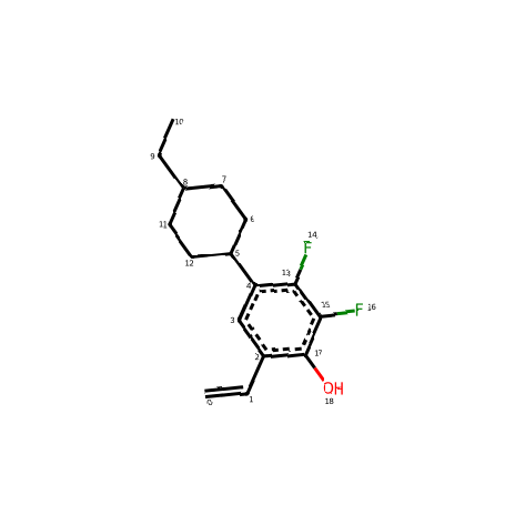 C=Cc1cc(C2CCC(CC)CC2)c(F)c(F)c1O